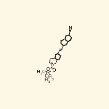 CC(C)(C)OC(=O)N1CCc2cc(/C=C/c3ccc4cc(C#N)ccc4c3)ccc2C1